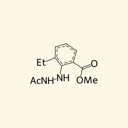 CCc1cccc(C(=O)OC)c1NNC(C)=O